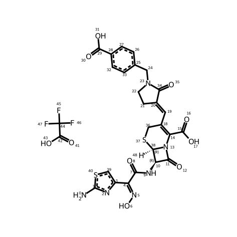 Nc1nc(C(=NO)C(=O)N[C@@H]2C(=O)N3C(C(=O)O)=C(C=C4CCN(Cc5ccc(C(=O)O)cc5)C4=O)CS[C@H]23)cs1.O=C(O)C(F)(F)F